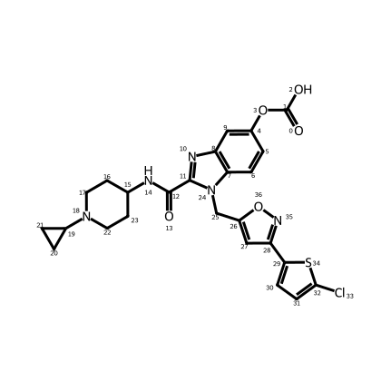 O=C(O)Oc1ccc2c(c1)nc(C(=O)NC1CCN(C3CC3)CC1)n2Cc1cc(-c2ccc(Cl)s2)no1